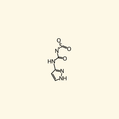 O=C(N=S(=O)=O)Nc1cc[nH]n1